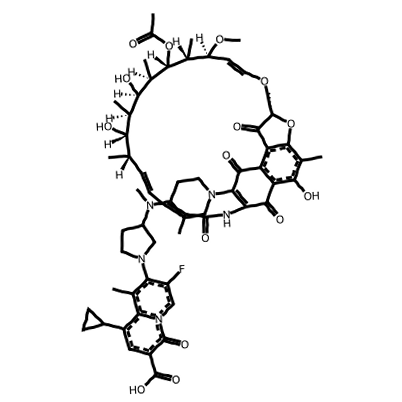 CO[C@H]1/C=C/O[C@@]2(C)Oc3c(C)c(O)c4c(c3C2=O)C(=O)C(N2CCC(N(C)C3CCN(c5c(F)cn6c(=O)c(C(=O)O)cc(C7CC7)c6c5C)C3)CC2)=C(NC(=O)/C(C)=C\C=C\[C@H](C)[C@H](O)[C@@H](C)[C@@H](O)[C@@H](C)[C@H](OC(C)=O)[C@@H]1C)C4=O